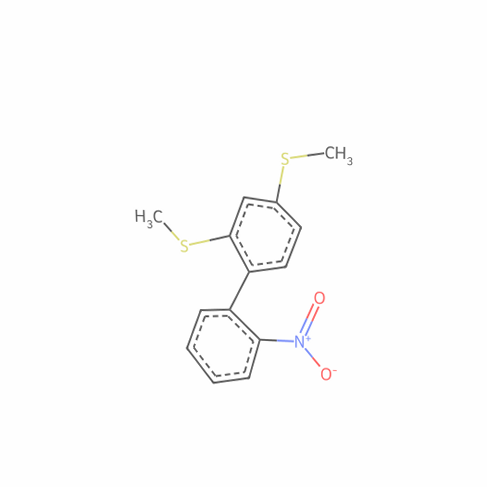 CSc1ccc(-c2ccccc2[N+](=O)[O-])c(SC)c1